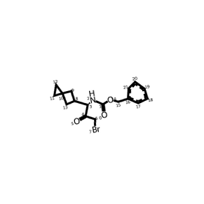 O=C(N[C@H](C(=O)CBr)C1CC2(CC2)C1)OCc1ccccc1